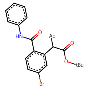 CC(=O)C(C(=O)OC(C)(C)C)c1cc(Br)ccc1C(=O)Nc1ccccc1